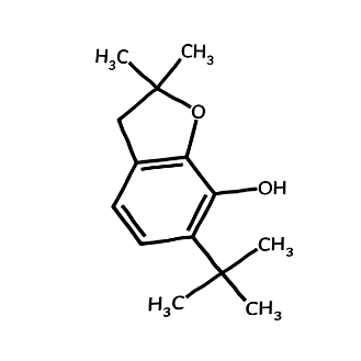 CC1(C)Cc2ccc(C(C)(C)C)c(O)c2O1